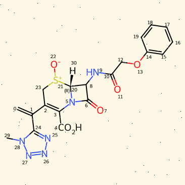 C=C(C1=C(C(=O)O)N2C(=O)C(NC(=O)COc3ccccc3)[C@H]2[S+]([O-])C1)c1nnnn1C